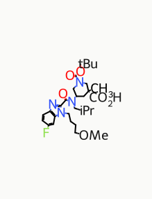 COCCCCn1c(C(=O)N(CC(C)C)[C@@H]2CN(C(=O)OC(C)(C)C)C[C@](C)(C(=O)O)C2)nc2ccc(F)cc21